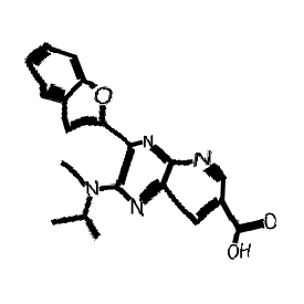 CC(C)N(C)c1nc2cc(C(=O)O)cnc2nc1-c1cc2ccccc2o1